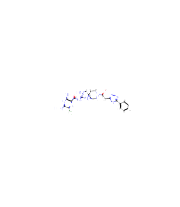 Nc1nc(N)c(C(=O)/N=C2\NCC3(CCN(C(=O)Cc4nnc(-c5ccccc5)[nH]4)CC3)N2)nc1Cl